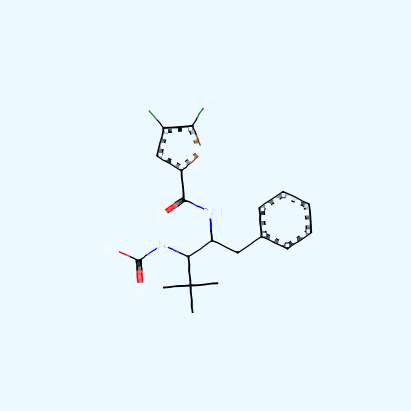 CC(C)(C)C(NC(=O)O)C(Cc1ccccc1)NC(=O)c1cc(Br)c(Br)s1